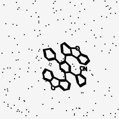 N#Cc1ccccc1-c1cc(-c2cccc3oc4ccccc4c23)c(-c2ccccc2)cc1-c1cccc2oc3ccccc3c12